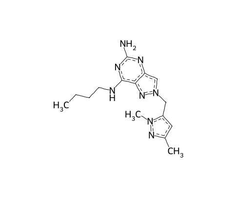 CCCCNc1nc(N)nc2cn(Cc3cc(C)nn3C)nc12